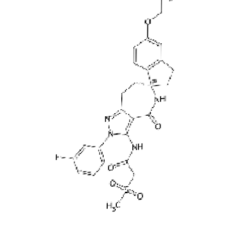 CS(=O)(=O)CC(=O)Nc1c2c(nn1-c1cccc(F)c1)CC[C@]1(CCc3cc(OCC(F)(F)F)ccc31)NC2=O